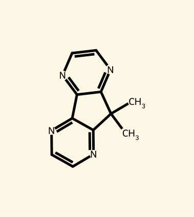 CC1(C)c2nccnc2-c2nccnc21